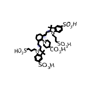 CC1(C)C(/C=C/C2=C(N3CCC(C(=O)O)CC3)C(=C/C=C3\N(CCCS(=O)(=O)O)c4ccc(S(=O)(=O)O)cc4C3(C)C)/CCC2)=[N+](CCCS(=O)(=O)O)c2ccc(S(=O)(=O)O)cc21